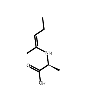 CCC=C(C)N[C@@H](C)C(=O)O